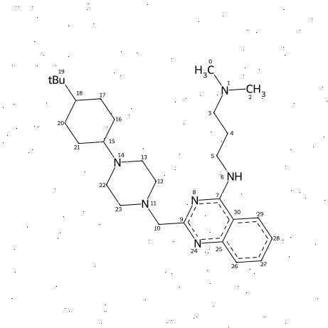 CN(C)CCCNc1nc(CN2CCN(C3CCC(C(C)(C)C)CC3)CC2)nc2ccccc12